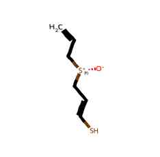 C=CC[S@+]([O-])CC=CS